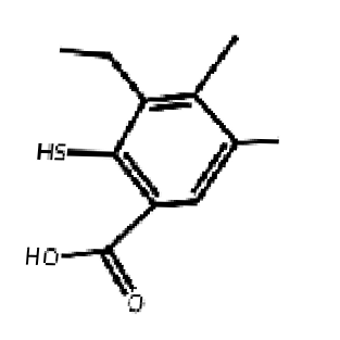 CCc1c(C)c(C)cc(C(=O)O)c1S